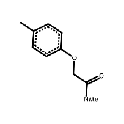 CNC(=O)COc1ccc(C)cc1